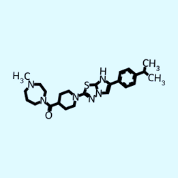 CC(C)c1ccc(C2=CN3N=C(N4CCC(C(=O)N5CCCN(C)CC5)CC4)SC3N2)cc1